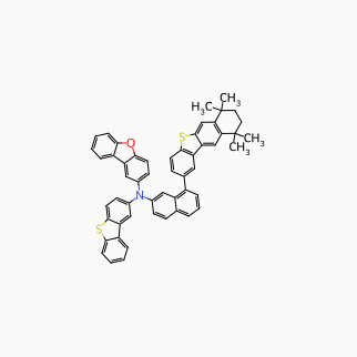 CC1(C)CCC(C)(C)c2cc3c(cc21)sc1ccc(-c2cccc4ccc(N(c5ccc6oc7ccccc7c6c5)c5ccc6sc7ccccc7c6c5)cc24)cc13